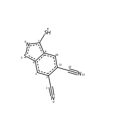 N#Cc1cc2snc(S)c2cc1C#N